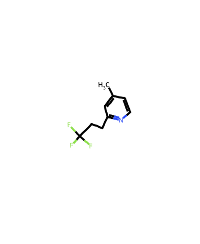 Cc1ccnc(CCC(F)(F)F)c1